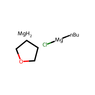 C1CCOC1.CCC[CH2][Mg][Cl].[MgH2]